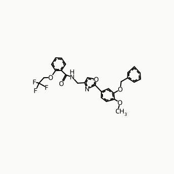 COc1ccc(-c2nc(CNC(=O)c3ccccc3OCC(F)(F)F)co2)cc1OCc1ccccc1